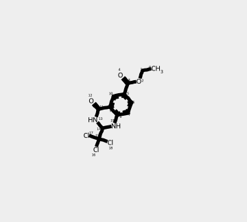 CCOC(=O)c1ccc2c(c1)C(=O)NC(C(Cl)(Cl)Cl)N2